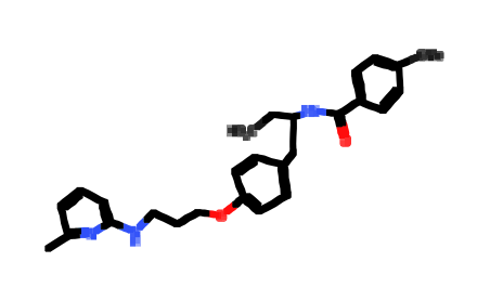 COc1ccc(C(=O)NC(CC(=O)O)Cc2ccc(OCCCNc3cccc(C)n3)cc2)cc1